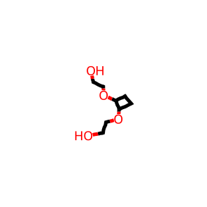 OCCOC1CCC1OCCO